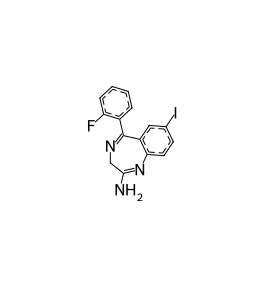 NC1=Nc2ccc(I)cc2C(c2ccccc2F)=NC1